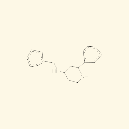 c1ccc(CNC2CCNC(c3ccccc3)C2)cc1